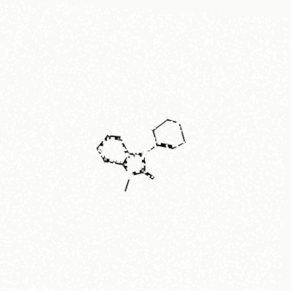 Cn1c(=O)n(C2=CCCCC2)c2ccccc21